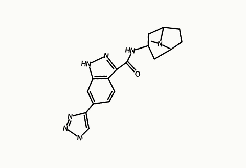 CN1C2CCC1CC(NC(=O)c1n[nH]c3cc(C4=C[N]N=N4)ccc13)C2